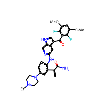 C=C(C(N)=O)c1cc(N2CCN(CC)CC2)ccc1Nc1cc2c(C(=O)c3c(F)c(OC)cc(OC)c3F)c[nH]c2cn1